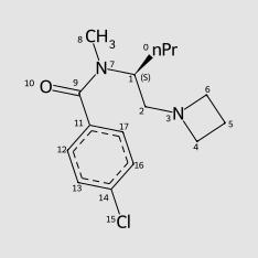 CCC[C@@H](CN1CCC1)N(C)C(=O)c1ccc(Cl)cc1